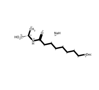 CCCCCCCCCCCCCCCCCC(=O)N[C@@H](C)C(=O)O.[NaH]